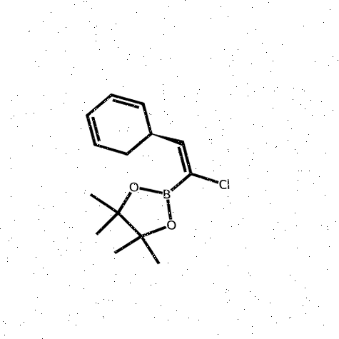 CC1(C)OB(/C(Cl)=C\[C@@H]2C=CC=CC2)OC1(C)C